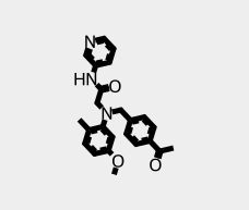 COc1ccc(C)c(N(CC(=O)Nc2cccnc2)Cc2ccc(C(C)=O)cc2)c1